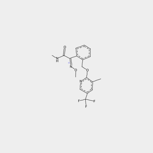 CNC(=O)/C(=N/OC)c1ccccc1COc1ncc(C(F)(F)F)cc1C